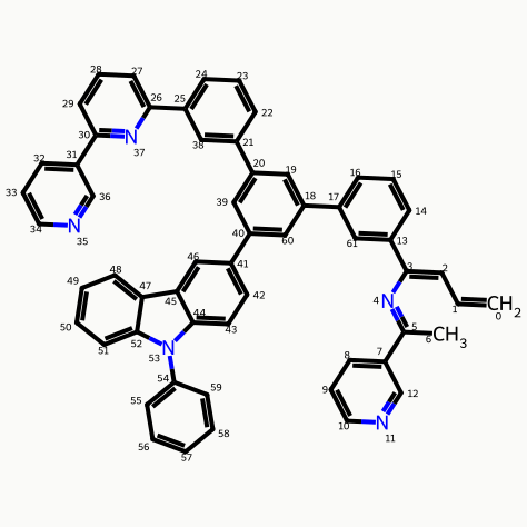 C=C/C=C(\N=C(/C)c1cccnc1)c1cccc(-c2cc(-c3cccc(-c4cccc(-c5cccnc5)n4)c3)cc(-c3ccc4c(c3)c3ccccc3n4-c3ccccc3)c2)c1